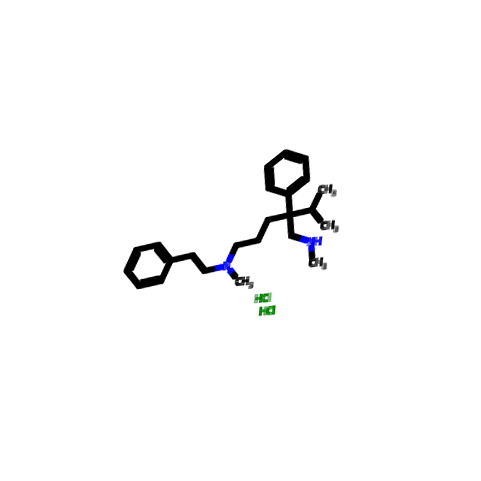 CNCC(CCCN(C)CCc1ccccc1)(c1ccccc1)C(C)C.Cl.Cl